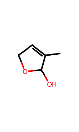 CC1=CCOC1O